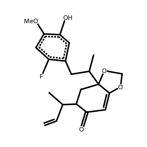 C=CC(C)C1CC2(C(C)Cc3cc(O)c(OC)cc3F)OCOC2=CC1=O